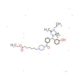 C=CCN1C[C@H](C)N(C(c2cccc(O)c2)c2cccc(C(=O)N3CCN(CCCCCCC(=O)OCC)CC3)c2)C[C@H]1C